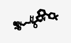 CC1(C)CC=C(c2cccc3cc(C(=O)NCCCNS(C)(=O)=O)cnc23)CC1